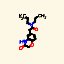 CCCN(CCC)C(=O)Cc1ccc2c(c1)NC(=O)CO2